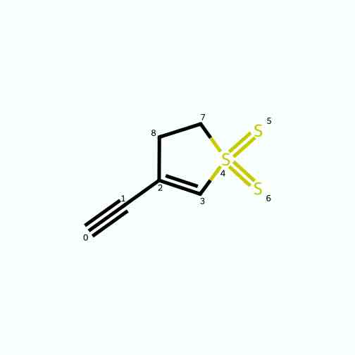 C#CC1=CS(=S)(=S)CC1